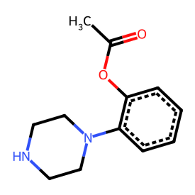 CC(=O)Oc1ccccc1N1CCNCC1